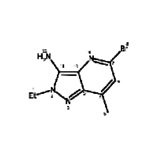 CCn1nc2c(C)cc(Br)nc2c1N